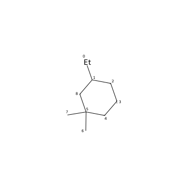 CCC1C[CH]CC(C)(C)C1